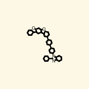 c1ccc(-c2nc3ccccc3n2-c2ccc(-c3ccc(-c4ccc5oc6cc7oc8ccccc8c7cc6c5c4)cc3)cc2)cc1